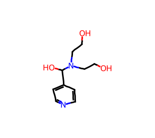 OCCN(CCO)C(O)c1ccncc1